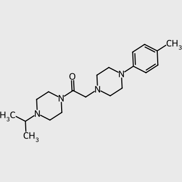 Cc1ccc(N2CCN(CC(=O)N3CCN(C(C)C)CC3)CC2)cc1